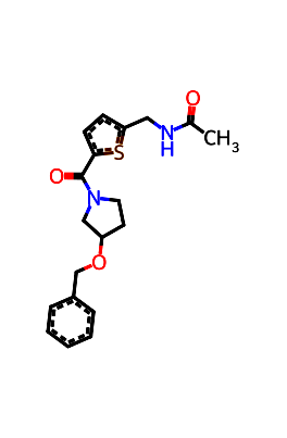 CC(=O)NCc1ccc(C(=O)N2CCC(OCc3ccccc3)C2)s1